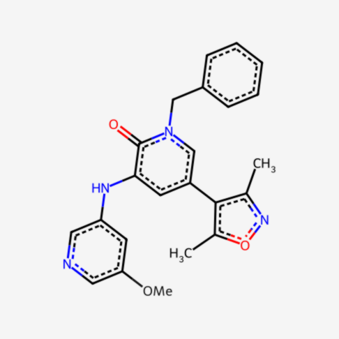 COc1cncc(Nc2cc(-c3c(C)noc3C)cn(Cc3ccccc3)c2=O)c1